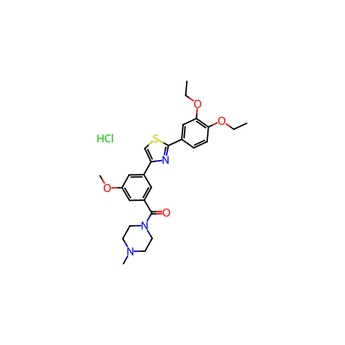 CCOc1ccc(-c2nc(-c3cc(OC)cc(C(=O)N4CCN(C)CC4)c3)cs2)cc1OCC.Cl